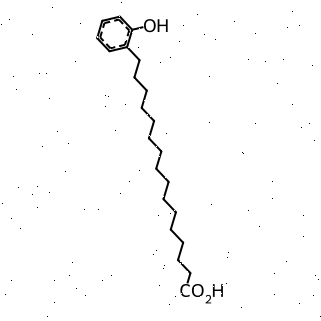 O=C(O)CCCCCCCCCCCCCCCc1ccccc1O